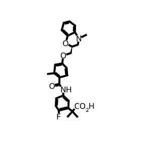 Cc1cc(OC[C@@H]2CN(C)c3ccccc3O2)ccc1C(=O)Nc1ccc(F)c(C(C)(C)C(=O)O)c1